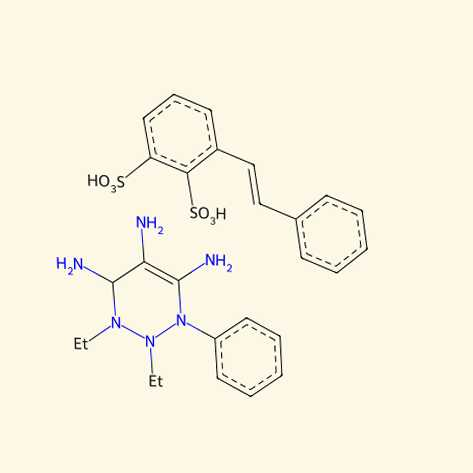 CCN1C(N)C(N)=C(N)N(c2ccccc2)N1CC.O=S(=O)(O)c1cccc(C=Cc2ccccc2)c1S(=O)(=O)O